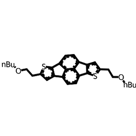 CCCCOCCc1cc2c(s1)-c1ccc3c4c(ccc-2c14)-c1sc(CCOCCCC)cc1-3